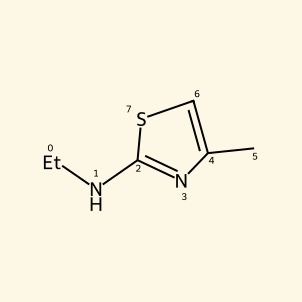 [CH2]CNc1nc(C)cs1